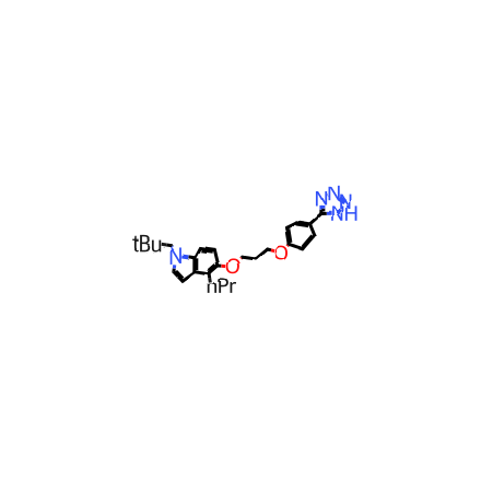 CCCc1c(OCCCOc2ccc(-c3nnn[nH]3)cc2)ccc2c1ccn2CC(C)(C)C